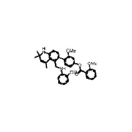 COc1ccccc1NCc1c(-c2ccc(OC(=O)c3ccccc3OC)cc2OC)ccc2c1C(C)=CC(C)(C)N2